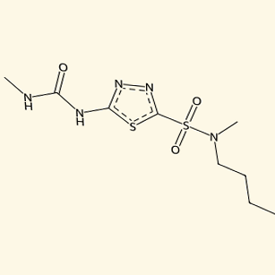 CCCCN(C)S(=O)(=O)c1nnc(NC(=O)NC)s1